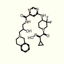 O=C(NCC(O)CN1CCc2ccccc2C1)c1cc(NC2CCN(C(=O)C(=NO)C3CC3)CC2(F)F)ncn1